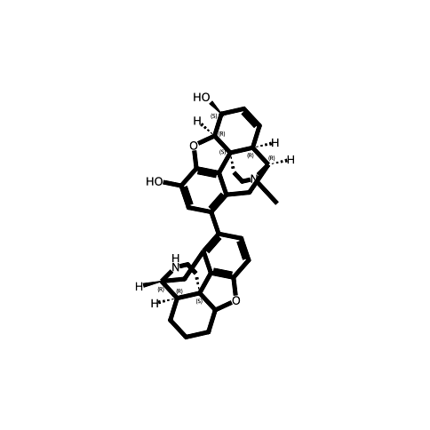 CN1CC[C@]23c4c5c(-c6ccc7c8c6C[C@H]6NCC[C@@]89C(CCC[C@@H]69)O7)cc(O)c4O[C@H]2[C@@H](O)C=C[C@H]3[C@H]1C5